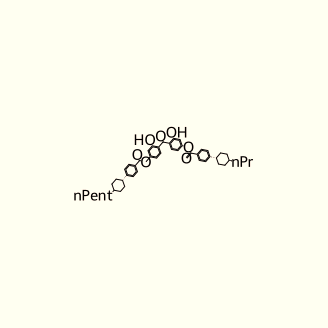 CCCCC[C@H]1CC[C@H](c2ccc(C(=O)Oc3ccc(C(=O)c4ccc(OC(=O)c5ccc([C@H]6CC[C@H](CCC)CC6)cc5)cc4O)c(O)c3)cc2)CC1